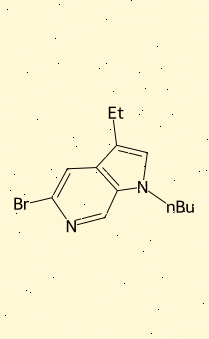 CCCCn1cc(CC)c2cc(Br)ncc21